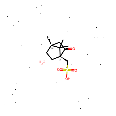 CC1(C)[C@@H]2CC[C@@]1(CS(=O)(=O)O)C(=O)C2.O